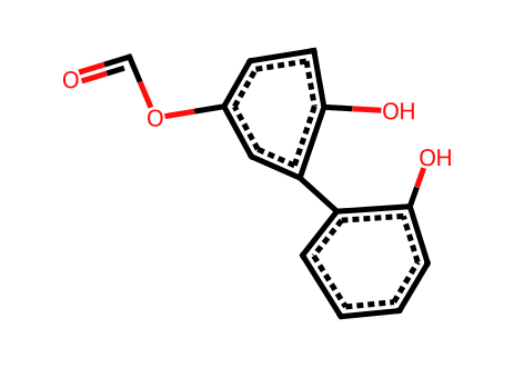 O=COc1ccc(O)c(-c2ccccc2O)c1